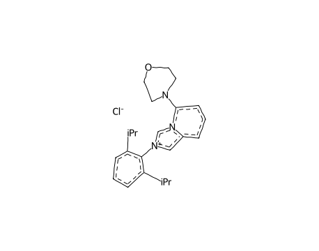 CC(C)c1cccc(C(C)C)c1-[n+]1cc2cccc(N3CCOCC3)n2c1.[Cl-]